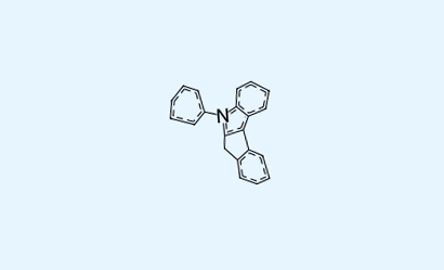 c1ccc(-n2c3c(c4ccccc42)-c2ccccc2C3)cc1